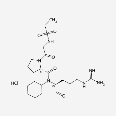 CCS(=O)(=O)NCC(=O)N1CCC[C@H]1C(=O)N(C1CCCCC1)[C@H](C=O)CCCNC(=N)N.Cl